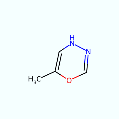 CC1=CNN=CO1